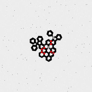 c1ccc(-n2c3ccccc3c3cc(-c4ccccc4N(c4ccccc4-c4cccc5c4-c4ccccc4C5(c4ccccc4)c4ccccc4)c4ccccc4-c4cccc5cccc(C6CCCCC6)c45)ccc32)cc1